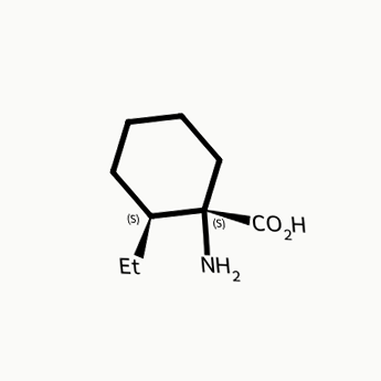 CC[C@H]1CCCC[C@@]1(N)C(=O)O